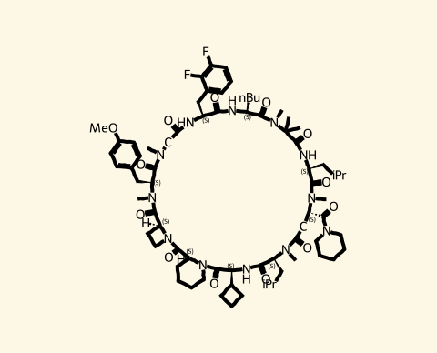 CCCC[C@@H]1NC(=O)[C@H](Cc2cccc(F)c2F)NC(=O)CN(C)C(=O)[C@H](Cc2ccc(OC)cc2)N(C)C(=O)[C@@H]2CCN2C(=O)[C@@H]2CCCCN2C(=O)[C@H](C2CCC2)NC(=O)[C@H](CC(C)C)N(C)C(=O)C[C@@H](C(=O)N2CCCCC2)N(C)C(=O)[C@H](CC(C)C)NC(=O)C(C)(C)N(C)C1=O